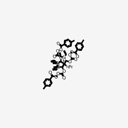 C=C[SiH](C=C)C(OC(=O)OOC(=O)c1ccc(C)cc1)C(CCC)(C(OC(=O)OOC(=O)c1ccc(C)cc1)[SiH](C=C)C=C)C(OC(=O)OOC(=O)c1ccc(C)cc1)[SiH](C=C)C=C